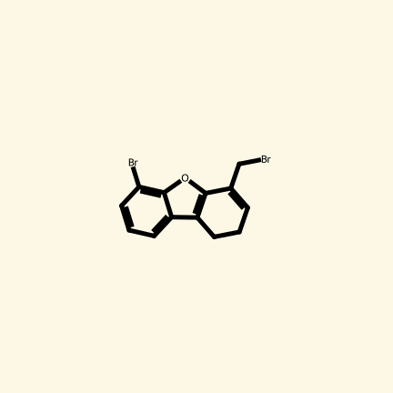 BrCC1=CCCc2c1oc1c(Br)cccc21